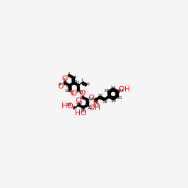 C=C[C@@H]1C2=CCOC(=O)C2=CO[C@H]1O[C@@H]1O[C@H](CO)[C@@H](O)[C@H](O)[C@H]1OC(=O)/C=C/c1ccc(O)cc1